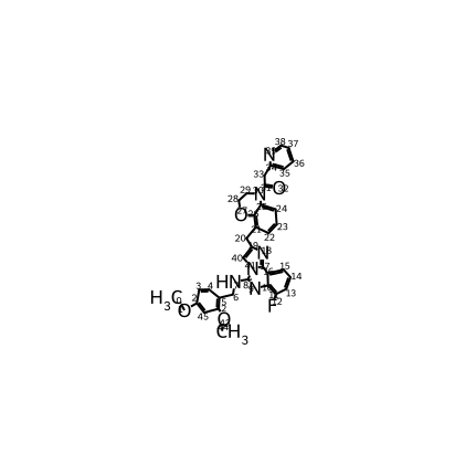 COc1ccc(CNc2nc3c(F)cccc3c3nc(Cc4cccc5c4OCCN5C(=O)Cc4ccccn4)cn23)c(OC)c1